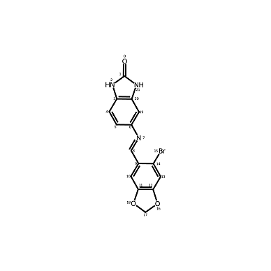 O=c1[nH]c2ccc(N=Cc3cc4c(cc3Br)OCO4)cc2[nH]1